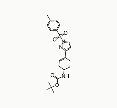 Cc1ccc(S(=O)(=O)n2ccc(C3=CCC(NC(=O)OC(C)(C)C)CC3)n2)cc1